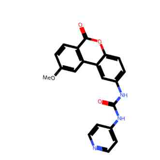 COc1ccc2c(=O)oc3ccc(NC(=O)Nc4ccncc4)cc3c2c1